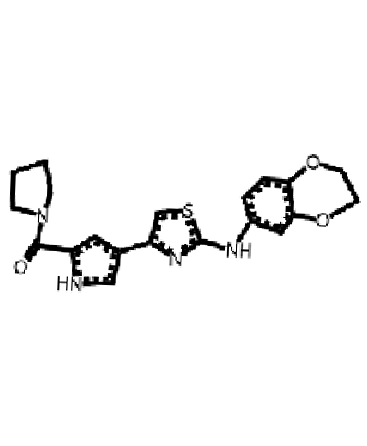 O=C(c1cc(-c2csc(Nc3ccc4c(c3)OCCO4)n2)c[nH]1)N1CCCC1